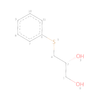 OC[C@@H](O)CSc1ccccc1